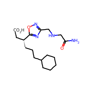 NC(=O)CNCc1noc([C@H](CCCC2CCCCC2)CC(=O)O)n1